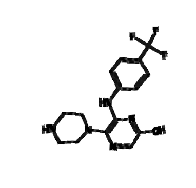 Oc1cnc(N2CCNCC2)c(Nc2ccc(C(F)(F)F)cc2)n1